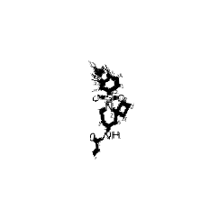 C=CC(=O)NC1CCN(S(=O)(=O)c2ccc3ncsc3c2)C2(CCC2)C1